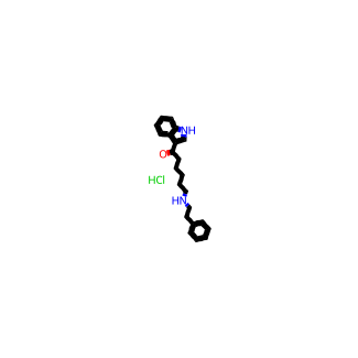 Cl.O=C(CCCCCNCCc1ccccc1)c1c[nH]c2ccccc12